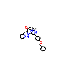 COC(=O)[C@@H](Cc1ccccn1)Nc1cc(-c2ccc(OCc3ccccc3)cc2)ncn1